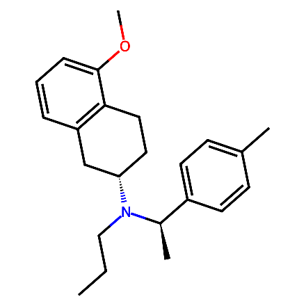 CCCN([C@H]1CCc2c(cccc2OC)C1)[C@H](C)c1ccc(C)cc1